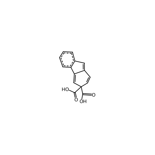 O=C(O)C1(C(=O)O)C=CC2=Cc3ccccc3C2=C1